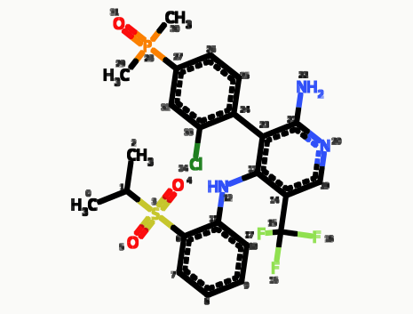 CC(C)S(=O)(=O)c1ccccc1Nc1c(C(F)(F)F)cnc(N)c1-c1ccc(P(C)(C)=O)cc1Cl